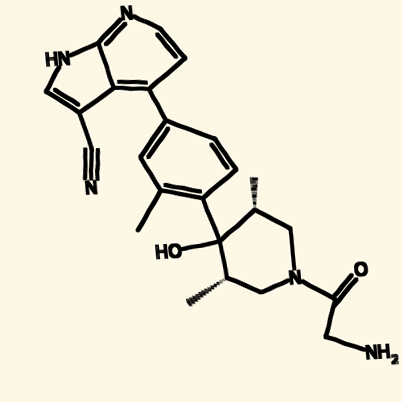 Cc1cc(-c2ccnc3[nH]cc(C#N)c23)ccc1C1(O)[C@H](C)CN(C(=O)CN)C[C@@H]1C